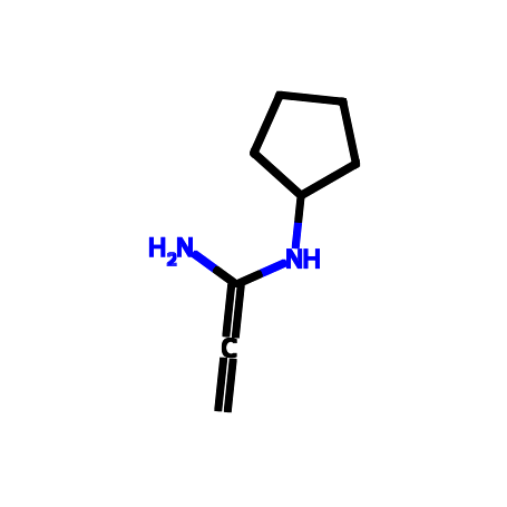 C=C=C(N)NC1CCCC1